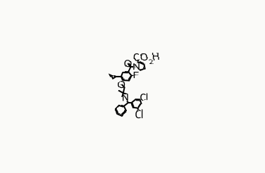 CC1(COc2cc(F)c(C(=O)N3CCC[C@H]3C(=O)O)cc2C2CC2)CN(C(c2ccccc2)c2cc(Cl)cc(Cl)c2)C1